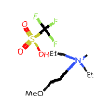 CC[N+](C)(CC)CCOC.O=S(=O)(O)C(F)(F)F